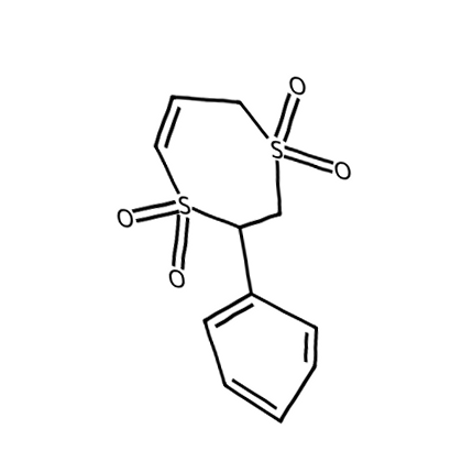 O=S1(=O)CC=CS(=O)(=O)C(c2ccccc2)C1